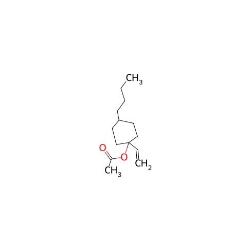 C=CC1(OC(C)=O)CCC(CCCC)CC1